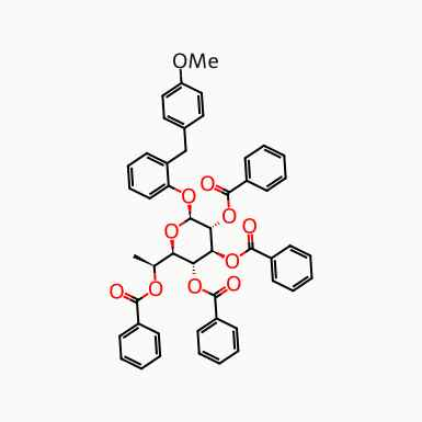 COc1ccc(Cc2ccccc2O[C@@H]2O[C@H]([C@H](C)OC(=O)c3ccccc3)[C@@H](OC(=O)c3ccccc3)[C@H](OC(=O)c3ccccc3)[C@H]2OC(=O)c2ccccc2)cc1